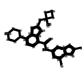 Cc1cn2cc(NC(=O)c3ccc(N4CCNCC4)c4cn(CC5(O)COC5)nc34)cc(F)c2n1